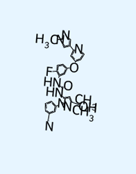 Cn1cc(-c2cc(Oc3ccc(F)c(NC(=O)Nc4cc(C(C)(C)O)nn4-c4cccc(C#N)c4)c3)ccn2)cn1